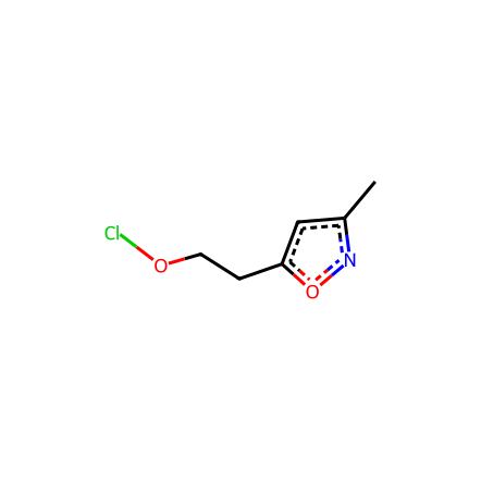 Cc1cc(CCOCl)on1